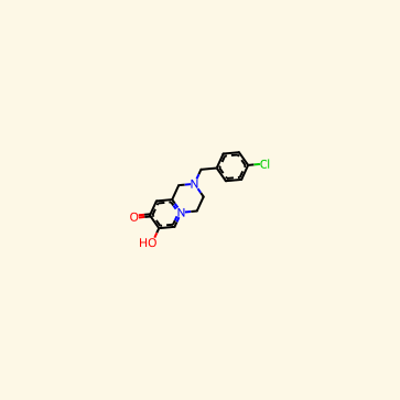 O=c1cc2n(cc1O)CCN(Cc1ccc(Cl)cc1)C2